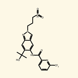 CC(C)(O)c1cc2nn(CCC[SH](=O)=O)cc2cc1NC(=O)c1cccc(C(F)(F)F)n1